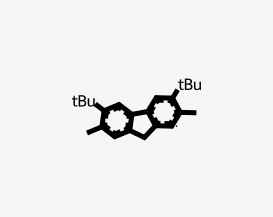 Cc1[c]c2c(cc1C(C)(C)C)-c1cc(C(C)(C)C)c(C)cc1C2